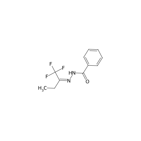 CCC(=NNC(=O)c1ccccc1)C(F)(F)F